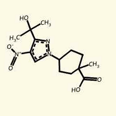 CC1(C(=O)O)CCC(n2cc([N+](=O)[O-])c(C(C)(C)O)n2)CC1